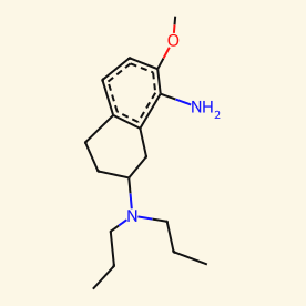 CCCN(CCC)C1CCc2ccc(OC)c(N)c2C1